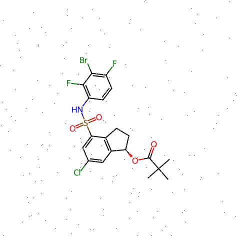 CC(C)(C)C(=O)O[C@@H]1CCc2c1cc(Cl)cc2S(=O)(=O)Nc1ccc(F)c(Br)c1F